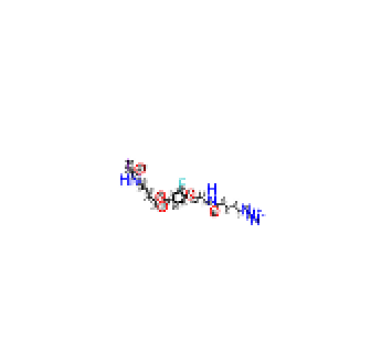 [N-]=[N+]=NCCCCC(=O)NCCCOc1ccc(C2OCC(CCCCNC(=O)CI)O2)cc1F